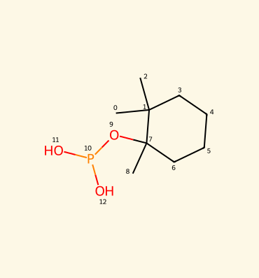 CC1(C)CCCCC1(C)OP(O)O